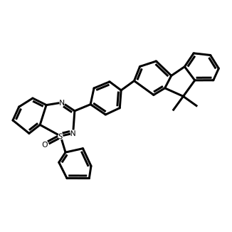 CC1(C)c2ccccc2-c2ccc(-c3ccc(C4=Nc5ccccc5S(=O)(c5ccccc5)=N4)cc3)cc21